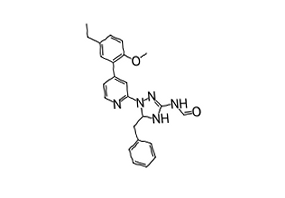 CCc1ccc(OC)c(-c2ccnc(N3N=C(NC=O)NC3Cc3ccccc3)c2)c1